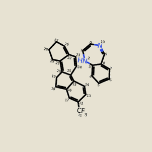 C1=CNc2ccccc2C=N1.FC(F)(F)c1ccc2c(c1)=CCc1c3c(ccc1=2)=CCCC3